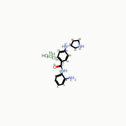 Cl.Cl.Cl.Nc1ccccc1NC(=O)c1ccc(N[C@@H]2CCNC2)cc1